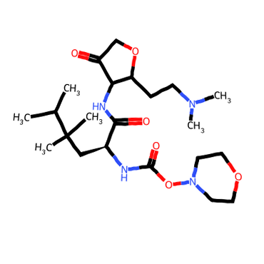 CC(C)C(C)(C)C[C@H](NC(=O)ON1CCOCC1)C(=O)NC1C(=O)COC1CCN(C)C